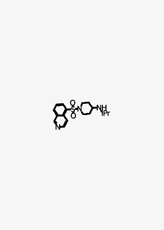 CC(C)NC1CCN(S(=O)(=O)c2cccc3cnccc23)CC1